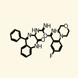 N=C(NC1N=C(c2ccccc2)c2ccccc2NC1=O)OC(=N)c1cc(F)ccc1N1CCOCC1